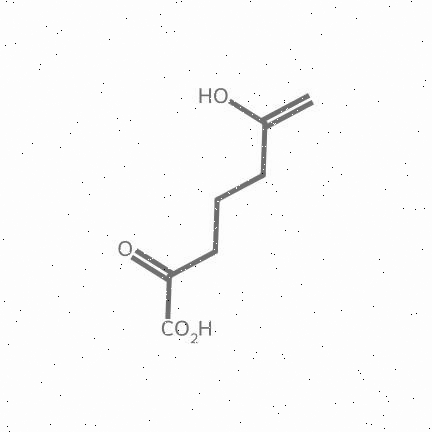 C=C(O)CCCC(=O)C(=O)O